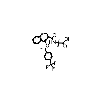 C[C@H](Oc1c(C(=O)NC(C)(C)C(=O)O)ccc2ccccc12)c1ccc(C(F)(F)F)cc1